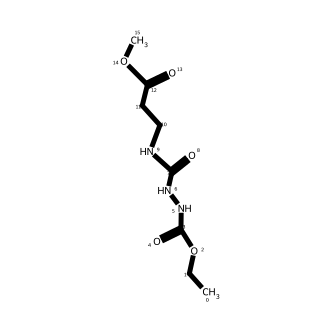 CCOC(=O)NNC(=O)NCCC(=O)OC